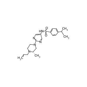 C=CCN1CCN(c2ncc(NS(=O)(=O)c3ccc(C(C)C)cc3)cn2)C[C@@H]1C